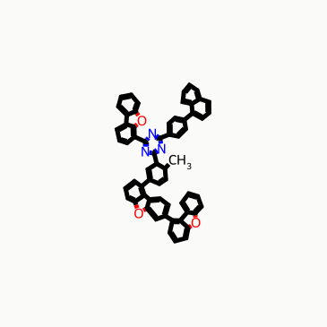 CC1C=CC(c2cccc3oc4cc(-c5cccc6oc7ccccc7c56)ccc4c23)=CC1c1nc(-c2ccc(-c3cccc4ccccc34)cc2)nc(-c2cccc3c2oc2ccccc23)n1